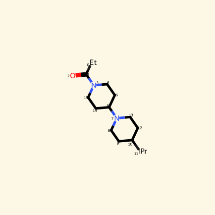 CCC(=O)N1CCC(N2CCC(C(C)C)CC2)CC1